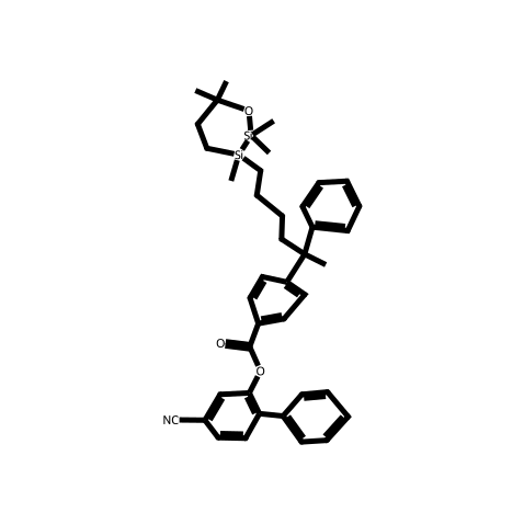 CC1(C)CC[Si](C)(CCCCC(C)(c2ccccc2)c2ccc(C(=O)Oc3cc(C#N)ccc3-c3ccccc3)cc2)[Si](C)(C)O1